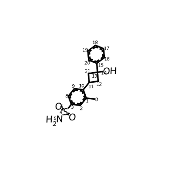 Cc1cc(S(N)(=O)=O)ccc1C1CC(O)(c2ccccc2)C1